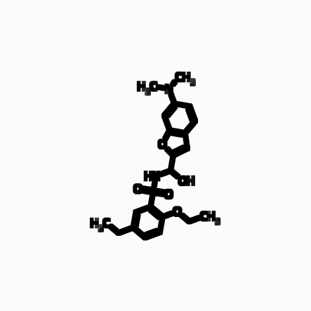 CCOc1ccc(CC)cc1S(=O)(=O)NC(O)c1cc2ccc(N(C)C)cc2o1